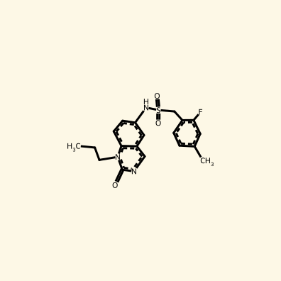 CCCn1c(=O)ncc2cc(NS(=O)(=O)Cc3ccc(C)cc3F)ccc21